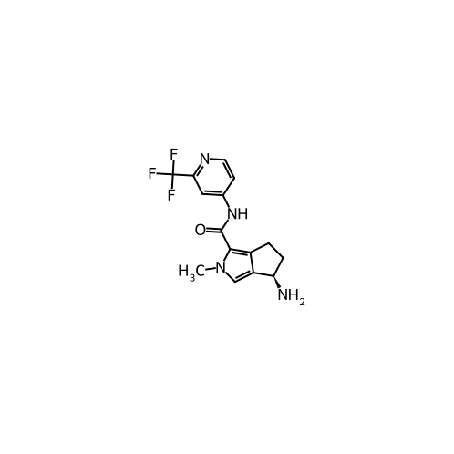 Cn1cc2c(c1C(=O)Nc1ccnc(C(F)(F)F)c1)CC[C@H]2N